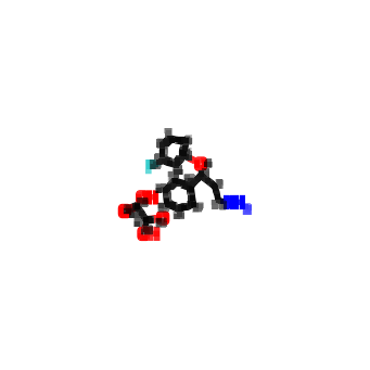 NCCC(Oc1cccc(F)c1)c1ccccc1.O=C(O)C(=O)O